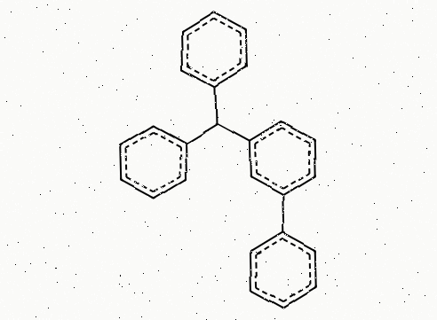 c1ccc(-c2cccc(C(c3ccccc3)c3ccccc3)c2)cc1